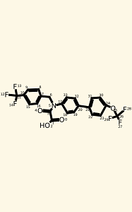 O=C(O)C(=O)N(Cc1ccc(C(F)(F)F)cc1)c1ccc(-c2ccc(OC(F)(F)F)cc2)cc1